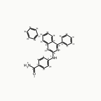 NC(=O)c1ccc(Nc2nc(-c3ccccc3)c3ccccc3n2)cc1.c1ccccc1